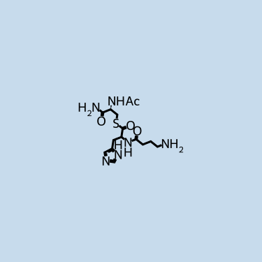 CC(=O)N[C@H](CSC(=O)C(Cc1cnc[nH]1)NC(=O)CCCN)C(N)=O